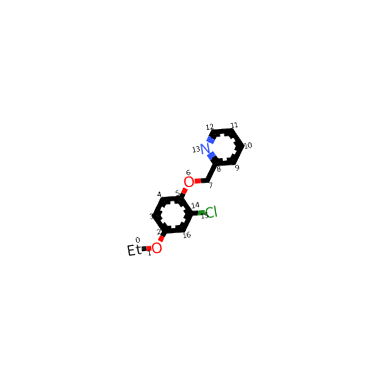 CCOc1ccc(OCc2ccccn2)c(Cl)c1